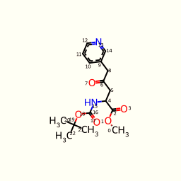 COC(=O)C(CC(=O)Cc1cccnc1)NC(=O)OC(C)(C)C